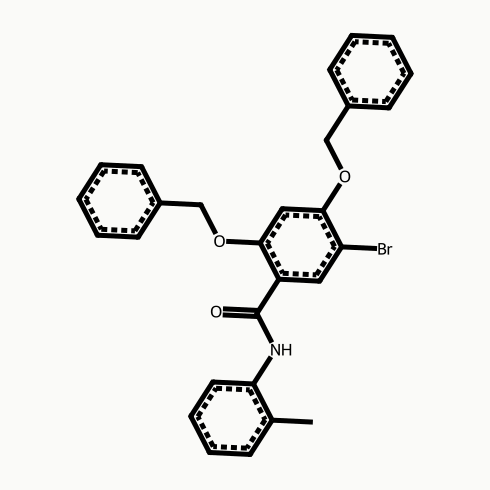 Cc1ccccc1NC(=O)c1cc(Br)c(OCc2ccccc2)cc1OCc1ccccc1